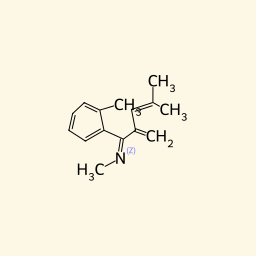 C=C(C=C(C)C)/C(=N/C)c1ccccc1C